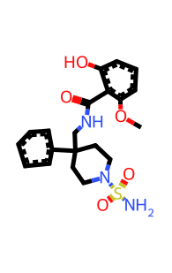 COc1cccc(O)c1C(=O)NCC1(c2ccccc2)CCN(S(N)(=O)=O)CC1